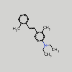 CCN(CC)c1ccc(C=Cc2ccccc2C)c(C)c1